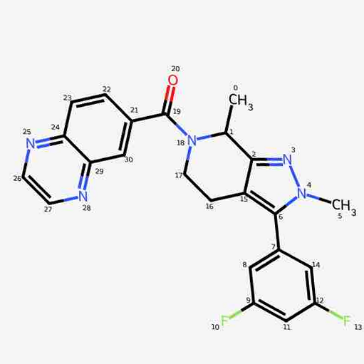 CC1c2nn(C)c(-c3cc(F)cc(F)c3)c2CCN1C(=O)c1ccc2nccnc2c1